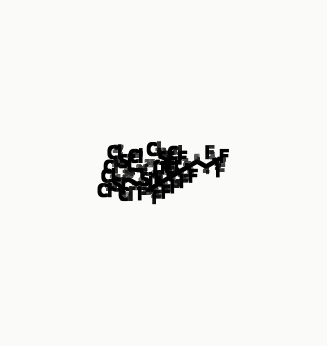 FC(F)(F)CCC(F)(F)C(F)(F)C(F)(F)C(F)(F)C(F)(F)[Si](CC[Si](Cl)(Cl)Cl)(CC[Si](Cl)(Cl)Cl)CC[Si](Cl)(Cl)Cl